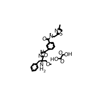 COCC(N)(Cc1ccccc1)c1nnc(-c2cccc(C(=O)N(C)Cc3nc(C)cs3)c2)o1.O=C(O)C(=O)O